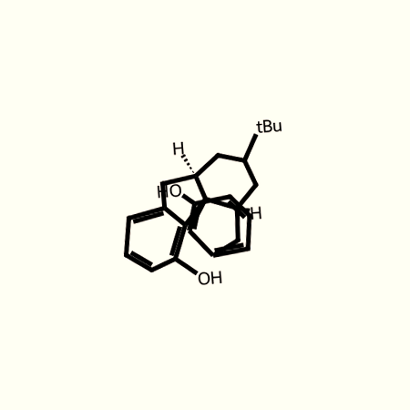 CC(C)(C)C1C[C@@H]2Cc3cccc(O)c3C23c2c(O)cccc2C[C@H]3C1